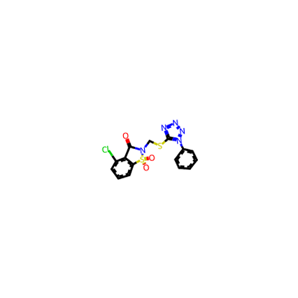 O=C1c2c(Cl)cccc2S(=O)(=O)N1CSc1nnnn1-c1ccccc1